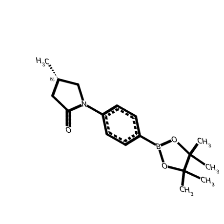 C[C@H]1CC(=O)N(c2ccc(B3OC(C)(C)C(C)(C)O3)cc2)C1